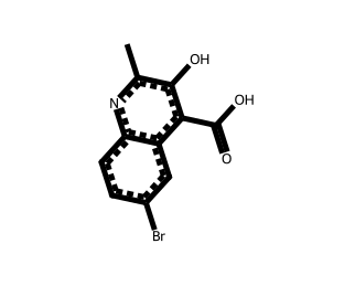 Cc1nc2ccc(Br)cc2c(C(=O)O)c1O